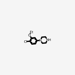 CCOc1cc(N2CCNCC2)ccc1Cl